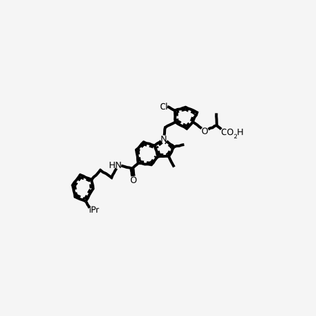 Cc1c(C)n(Cc2cc(OC(C)C(=O)O)ccc2Cl)c2ccc(C(=O)NCCc3cccc(C(C)C)c3)cc12